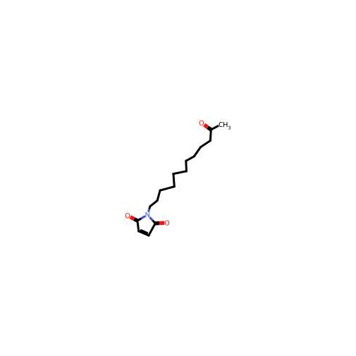 CC(=O)CCCCCCCCCCN1C(=O)C=CC1=O